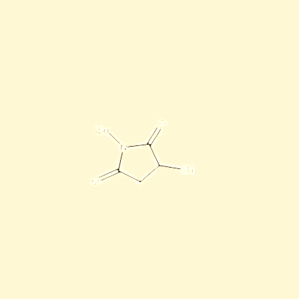 CCC(C)N1C(=O)CC(S)C1=O